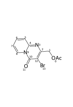 CC(=O)OCc1nc2ccccn2c(=O)c1Br